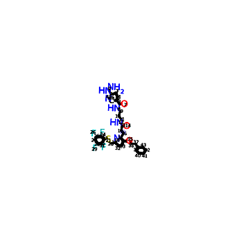 NNc1ccc(C(=O)NCCCNC(=O)/C=C/c2nc(CSc3c(F)c(F)cc(F)c3F)ccc2OCCc2ccccc2)cn1